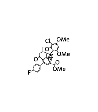 COC(=O)c1cc(-c2ccc(F)cc2)c2c(n1)[C@@]1(Oc3c(Cl)c(OC)cc(OC)c3C1=O)[C@H](C)CC2=O